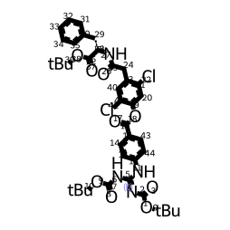 CC(C)(C)OC(=O)/N=C(/NC(=O)OC(C)(C)C)Nc1ccc(C(=O)Oc2cc(Cl)c(CC(=O)N[C@@H](Cc3ccccc3)C(=O)OC(C)(C)C)cc2Cl)cc1